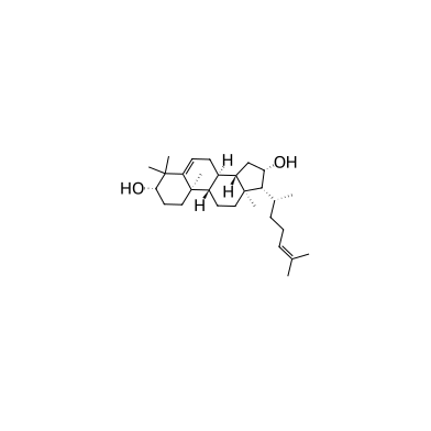 CC(C)=CCC[C@@H](C)[C@H]1[C@@H](O)C[C@H]2[C@@H]3CC=C4C(C)(C)[C@@H](O)CC[C@]4(C)[C@H]3CC[C@]12C